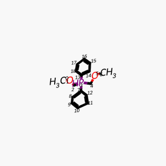 COC[PH](COC)(c1ccccc1)c1ccccc1